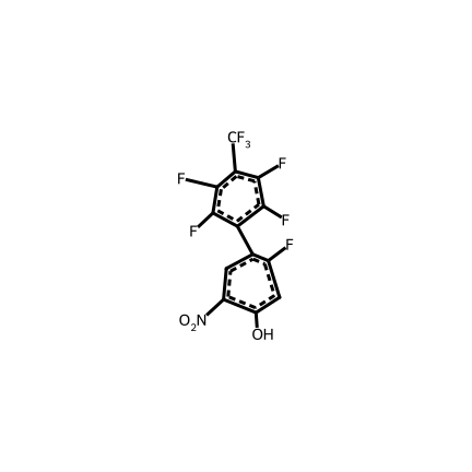 O=[N+]([O-])c1cc(-c2c(F)c(F)c(C(F)(F)F)c(F)c2F)c(F)cc1O